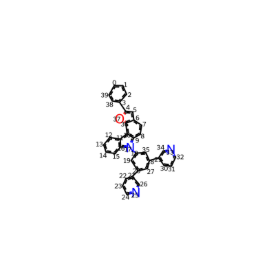 c1ccc(-c2cc3ccc4c(c5ccccc5n4-c4cc(-c5cccnc5)cc(-c5cccnc5)c4)c3o2)cc1